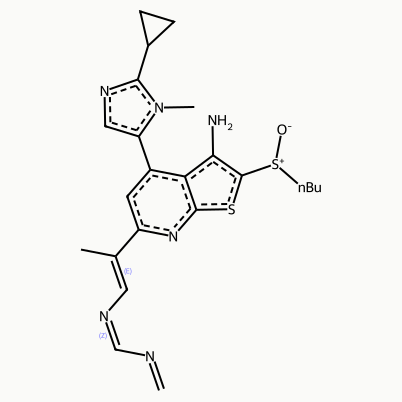 C=N/C=N\C=C(/C)c1cc(-c2cnc(C3CC3)n2C)c2c(N)c([S+]([O-])CCCC)sc2n1